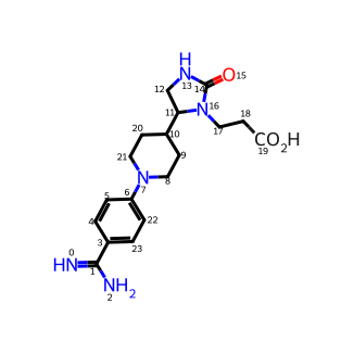 N=C(N)c1ccc(N2CCC(C3CNC(=O)N3CCC(=O)O)CC2)cc1